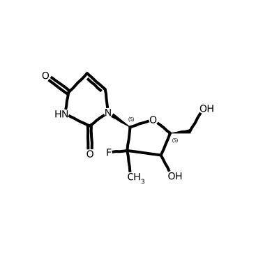 CC1(F)C(O)[C@H](CO)O[C@@H]1n1ccc(=O)[nH]c1=O